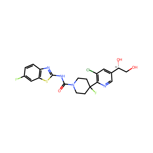 O=C(Nc1nc2ccc(F)cc2s1)N1CCC(F)(c2ncc([C@H](O)CO)cc2Cl)CC1